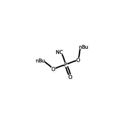 CCCCOP(=O)(C#N)OCCCC